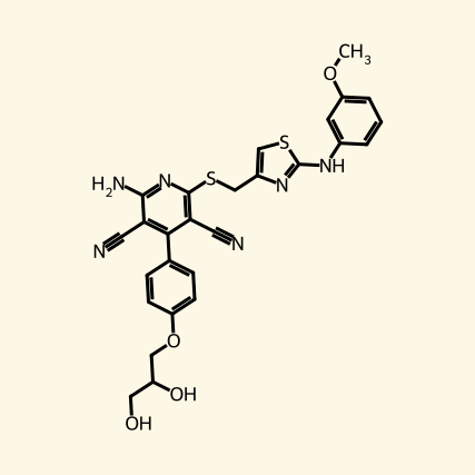 COc1cccc(Nc2nc(CSc3nc(N)c(C#N)c(-c4ccc(OCC(O)CO)cc4)c3C#N)cs2)c1